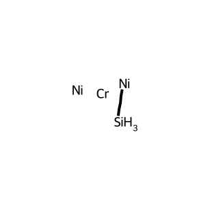 [Cr].[Ni].[SiH3][Ni]